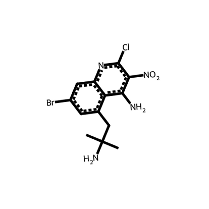 CC(C)(N)Cc1cc(Br)cc2nc(Cl)c([N+](=O)[O-])c(N)c12